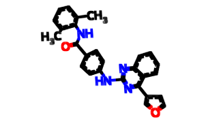 Cc1cccc(C)c1NC(=O)c1ccc(Nc2nc(-c3ccoc3)c3ccccc3n2)cc1